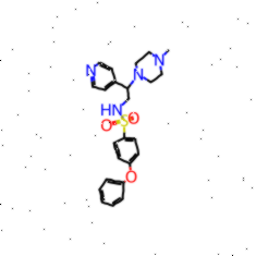 CN1CCN(C(CNS(=O)(=O)c2ccc(Oc3ccccc3)cc2)c2ccncc2)CC1